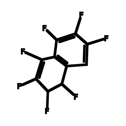 FC1=C(F)C(F)C(F)c2cc(F)c(F)c(F)c21